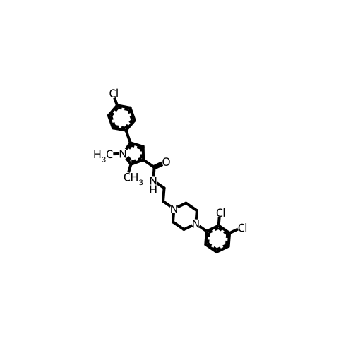 Cc1c(C(=O)NCCN2CCN(c3cccc(Cl)c3Cl)CC2)cc(-c2ccc(Cl)cc2)n1C